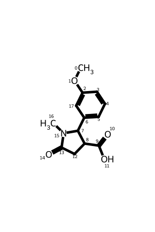 COc1cccc(C2C(C(=O)O)CC(=O)N2C)c1